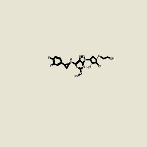 CCCSc1nc(NC2CC2c2ccc(F)c(F)c2)c2nnn(C3C[C@H](OCCO)C(O)[C@@H]3O)c2n1